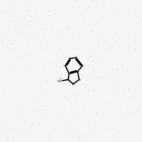 OC1CCc2[c]cccc21